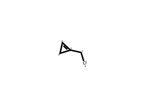 ClCC1=[C]C1